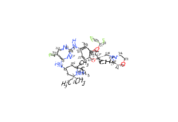 CC1(C)CC(Nc2nc(Nc3ccc(OC(C)(C)CN4CCOCC4)c(OC(F)F)c3)ncc2F)CC(C)(C)N1